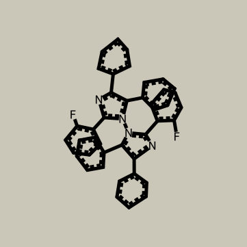 Fc1ccccc1-c1nc(-c2ccccc2)c(-c2ccccc2)n1-n1c(-c2ccccc2F)nc(-c2ccccc2)c1-c1ccccc1